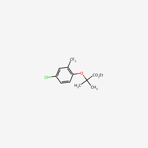 CCOC(=O)C(C)(C)Oc1ccc(Cl)cc1C(F)(F)F